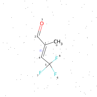 C/C([C]=O)=C\C(F)(F)F